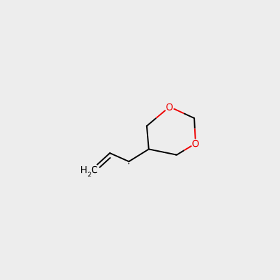 C=C[CH]C1COCOC1